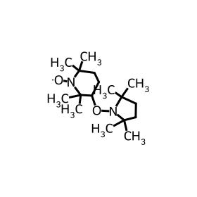 CC1(C)CCC(C)(C)N1OC1CCC(C)(C)N([O])C1(C)C